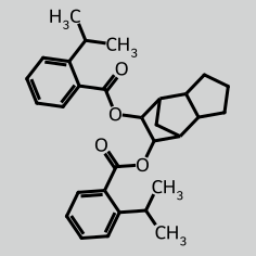 CC(C)c1ccccc1C(=O)OC1C2CC(C3CCCC32)C1OC(=O)c1ccccc1C(C)C